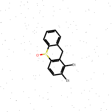 CCc1ccc2c(c1CC)Cc1ccccc1[S+]2[O-]